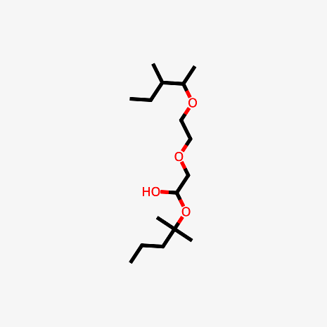 CCCC(C)(C)OC(O)COCCOC(C)C(C)CC